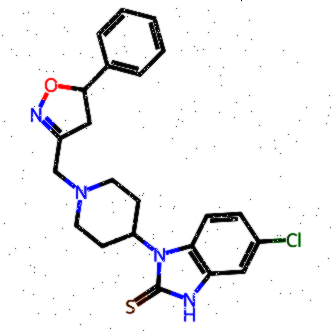 S=c1[nH]c2cc(Cl)ccc2n1C1CCN(CC2=NOC(c3ccccc3)C2)CC1